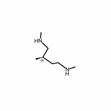 CNCC[C@@H](C)CNC